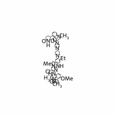 CCc1cc(Nc2ncc(Cl)c(Nc3ccc(OC)cc3N(C)S(C)(=O)=O)n2)c(OC)cc1N1CCC(N2CCN(C(=O)CN(C)c3cccc(C4CCC(=O)NC4=O)c3)CC2)CC1